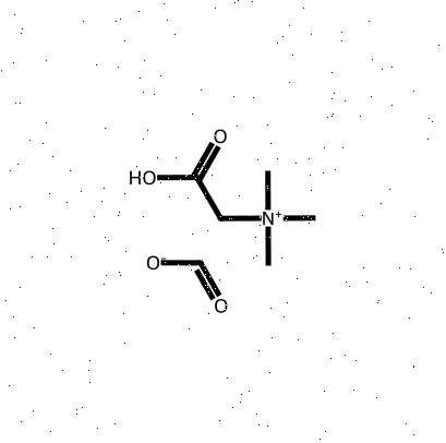 C[N+](C)(C)CC(=O)O.O=C[O-]